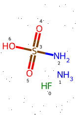 F.N.NS(=O)(=O)O